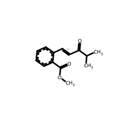 COC(=O)c1ccccc1/C=C/C(=O)C(C)C